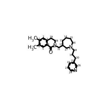 Cc1cc2c(cc1C)C(=O)N(CC1CCCCN(CCCc3cccnc3)C1)CC2